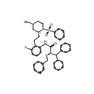 CC(C)(C)N1CCN(S(=O)(=O)c2ccccc2)[C@@H](CCc2c(F)cccc2NC(=O)C(OCc2ccccc2)C(c2ccccc2)c2ccccc2)C1